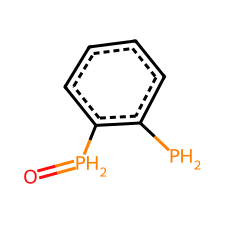 O=[PH2]c1ccccc1P